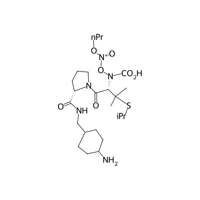 CCCO[N+](=O)ON(C(=O)O)[C@@H](C(=O)N1CCC[C@H]1C(=O)NCC1CCC(N)CC1)C(C)(C)SC(C)C